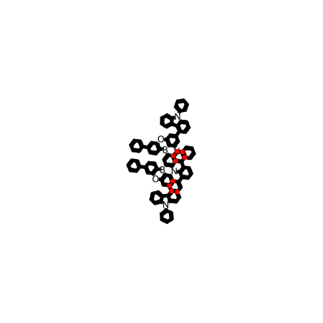 c1ccc(-c2ccc3c(c2)Oc2cc(-c4cccc5c4c4ccccc4n5-c4ccccc4)cc4c2B3c2cc3c(cc2N4c2ccccc2)N(c2c(-c4ccccc4)cccc2-c2ccccc2)c2cc(-c4cccc5c4c4ccccc4n5-c4ccccc4)cc4c2B3c2ccc(-c3ccccc3)cc2O4)cc1